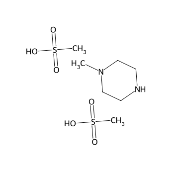 CN1CCNCC1.CS(=O)(=O)O.CS(=O)(=O)O